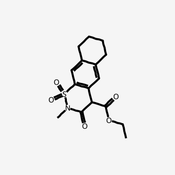 CCOC(=O)C1C(=O)N(C)S(=O)(=O)c2cc3c(cc21)CCCC3